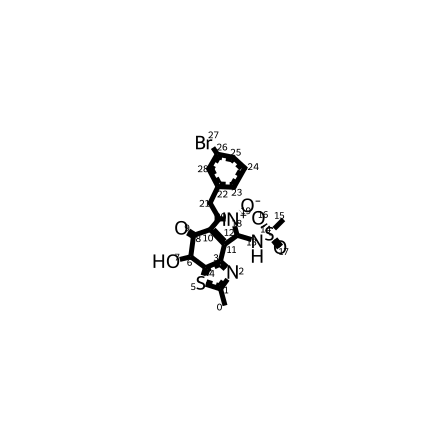 Cc1nc2c(s1)C(O)C(=O)C1=C2C(NS(C)(=O)=O)[NH+]([O-])C1Cc1cccc(Br)c1